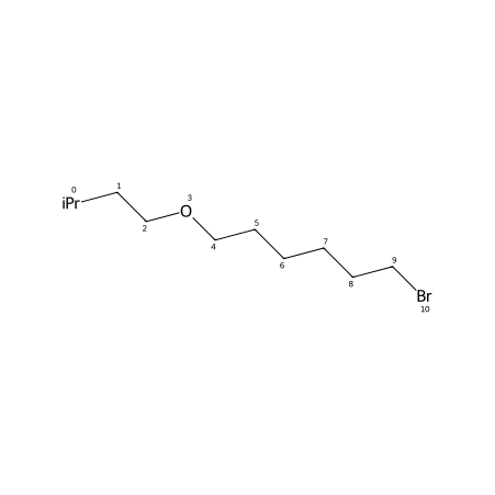 CC(C)CCOCCCCCCBr